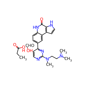 CCC(=O)O.CN(C)CCN(C)c1nccc(-c2ccc3[nH]c(=O)c4[nH]ccc4c3c2)n1.O=CO